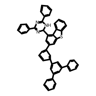 c1ccc(C2=NC(c3cc(-c4cccc(-c5cc(-c6ccccc6)cc(-c6ccccc6)c5)c4)cc4sc5ccccc5c34)NC(c3ccccc3)=N2)cc1